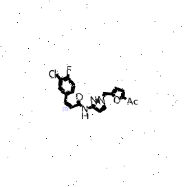 CC(=O)c1ccc(Cn2ccc(NC(=O)/C=C\c3ccc(F)c(Cl)c3)n2)o1